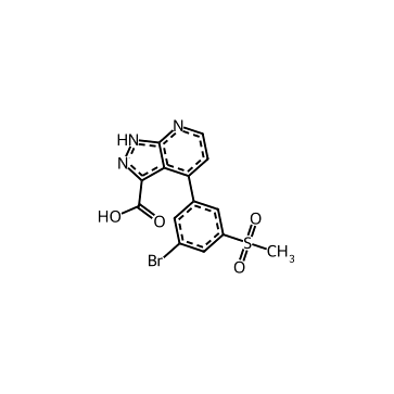 CS(=O)(=O)c1cc(Br)cc(-c2ccnc3[nH]nc(C(=O)O)c23)c1